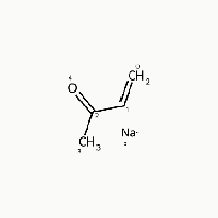 C=CC(C)=O.[Na]